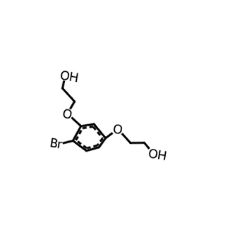 OCCOc1ccc(Br)c(OCCO)c1